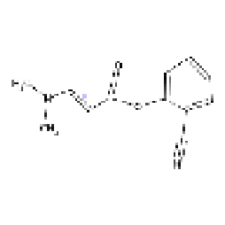 CN(C)/C=C/C(=O)Oc1ccccc1C#N